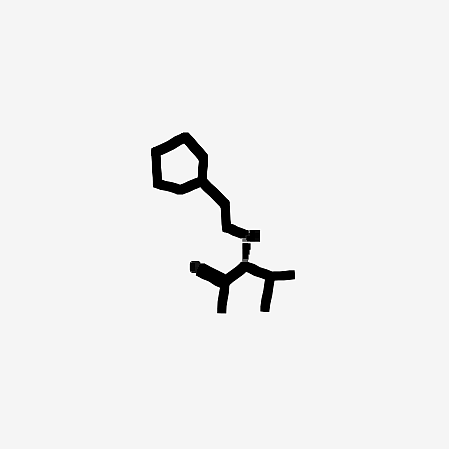 CC(=O)[C@H](NCCC1CCCCC1)C(C)C